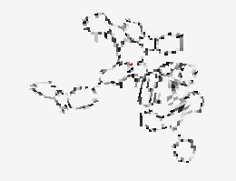 c1ccc(-n2c3ccccc3c3c(-n4c5ccccc5c5c(-n6c7ccccc7c7ccc8c9ccccc9n(-c9nc(-c%10ccc%11sc%12ccccc%12c%11c%10)nc(-c%10ccc%11sc%12ccccc%12c%11c%10)n9)c8c76)cccc54)cccc32)cc1